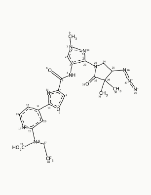 Cn1cc(NC(=O)c2coc(-c3ccnc(N(CC(F)(F)F)C(=O)O)c3)n2)c(N2CC(N=[N+]=[N-])C(C)(C)C2=O)n1